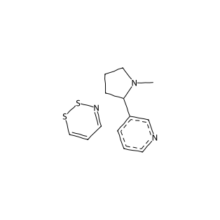 C1=CSSN=C1.CN1CCCC1c1cccnc1